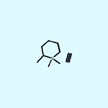 C#C.CC1CCCC[Si]1(C)C